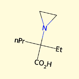 CCCC(CC)(C(=O)O)N1CC1